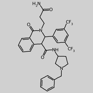 NC(=O)CCN1C(=O)c2ccccc2C(C(=O)NC2CCN(Cc3ccccc3)C2)C1c1cc(C(F)(F)F)cc(C(F)(F)F)c1